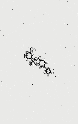 COc1cc(S(=O)(=O)Nc2cc(-c3ccco3)ccc2C)cnn1